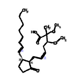 CCCCCC/C=C/[C@H]1CCC(=O)[C@@H]1C/C=C\CC(OC)C(C)(OC)C(=O)O